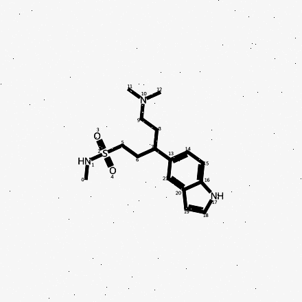 CNS(=O)(=O)CCC(CCN(C)C)c1ccc2[nH]ccc2c1